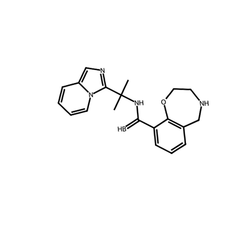 B=C(NC(C)(C)c1ncc2ccccn12)c1cccc2c1OCCNC2